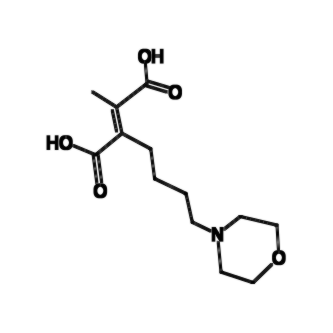 CC(C(=O)O)=C(CCCCN1CCOCC1)C(=O)O